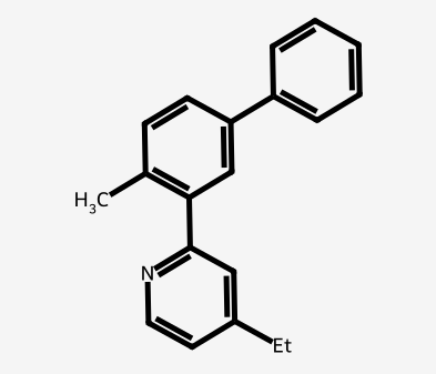 CCc1ccnc(-c2cc(-c3ccccc3)ccc2C)c1